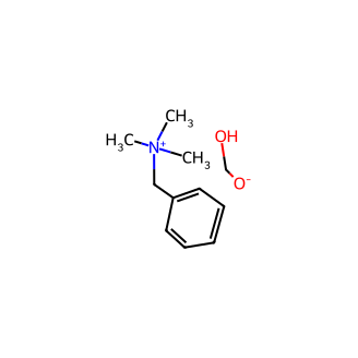 C[N+](C)(C)Cc1ccccc1.[O-]CO